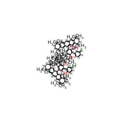 C[C@H](C[C@H](C)Oc1c(C(C)(C)CC(C)(C)C)cc(-c2c3cc4c(cc3cc3cc5c(cc23)C(C)(C)CCC5(C)C)C(C)(C)CCC4(C)C)c(O)c1-c1cccc(F)c1)Oc1c(C(C)(C)CC(C)(C)C)cc(-c2c3cc4c(cc3cc3cc5c(cc23)C(C)(C)CCC5(C)C)C(C)(C)CCC4(C)C)c(O)c1-c1cccc(F)c1